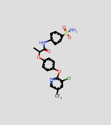 CC(Oc1ccc(Oc2ncc(C(F)(F)F)cc2Cl)cc1)C(=O)Nc1ccc(S(N)(=O)=O)cc1